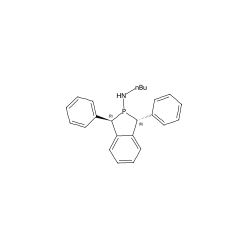 CCCCNP1[C@H](c2ccccc2)c2ccccc2[C@H]1c1ccccc1